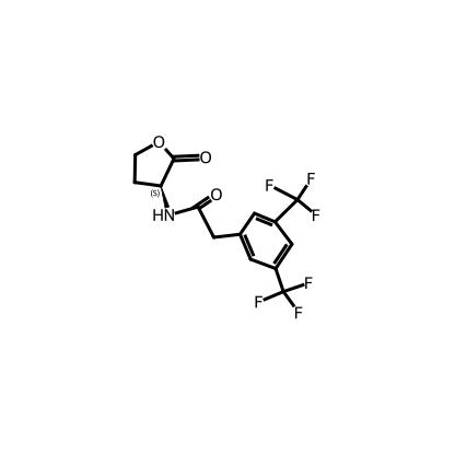 O=C(Cc1cc(C(F)(F)F)cc(C(F)(F)F)c1)N[C@H]1CCOC1=O